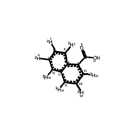 [2H]c1c([2H])c([2H])c2c(C(=O)O)c([2H])c([2H])c([2H])c2c1[2H]